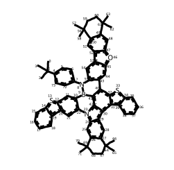 CC(C)(C)c1ccc(N2B3c4cc5sc6ccccc6c5cc4-n4c5cc6c(cc5c5c7c(sc8ccccc87)c(c3c54)-c3cc4oc5cc7c(cc5c4cc32)C(C)(C)CCC7(C)C)C(C)(C)CCC6(C)C)cc1